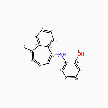 CC1=C=CC=C(Nc2ccccc2O)c2ccccc21